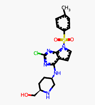 Cc1ccc(S(=O)(=O)n2ccc3c(N[C@@H]4CC[C@H](CO)NC4)nc(Cl)nc32)cc1